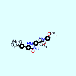 COc1cc(-c2ccc3c(c2)Nc2ccc(C(C)(C)C(=O)Nc4cccc(OC(F)(F)F)c4)cc2NC3=O)ccc1[N+](=O)[O-]